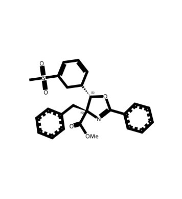 COC(=O)[C@@]1(Cc2ccccc2)N=C(c2ccccc2)O[C@H]1C1C=CC=C(S(C)(=O)=O)C1